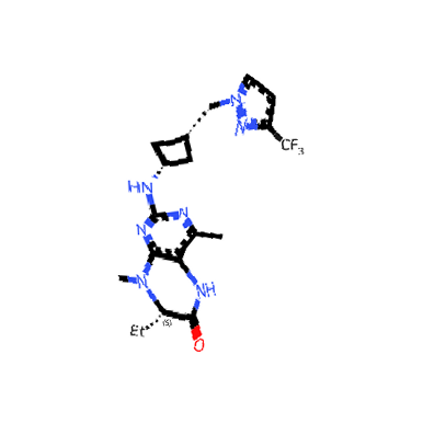 CC[C@H]1C(=O)Nc2c(C)nc(N[C@H]3C[C@@H](Cn4ccc(C(F)(F)F)n4)C3)nc2N1C